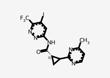 Cc1ccnc(C2C[C@@H]2C(=O)Nc2cc(I)c(C(F)(F)F)nn2)n1